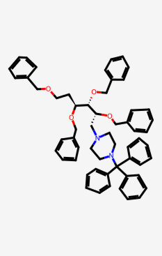 c1ccc(COCC[C@H](OCc2ccccc2)[C@H](OCc2ccccc2)[C@@H](CN2CCN(C(c3ccccc3)(c3ccccc3)c3ccccc3)CC2)OCc2ccccc2)cc1